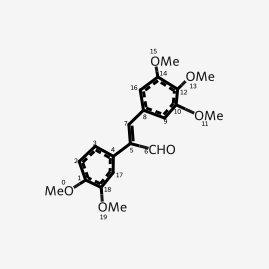 COc1ccc(C(C=O)=Cc2cc(OC)c(OC)c(OC)c2)cc1OC